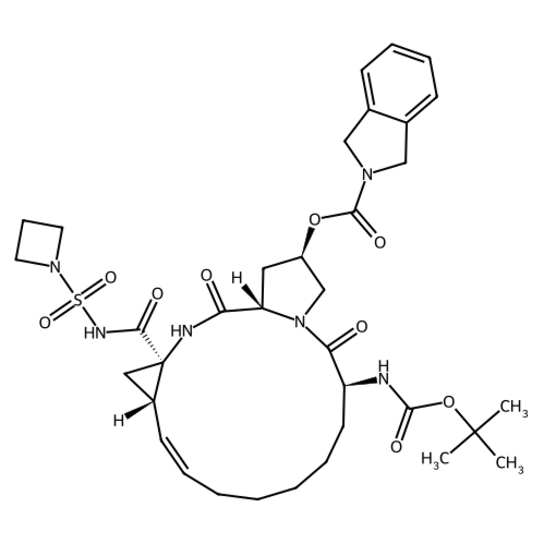 CC(C)(C)OC(=O)N[C@H]1CCCCC/C=C\[C@@H]2C[C@@]2(C(=O)NS(=O)(=O)N2CCC2)NC(=O)[C@@H]2C[C@@H](OC(=O)N3Cc4ccccc4C3)CN2C1=O